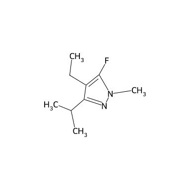 CCc1c(C(C)C)nn(C)c1F